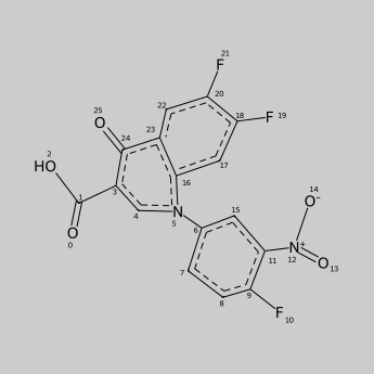 O=C(O)c1cn(-c2ccc(F)c([N+](=O)[O-])c2)c2cc(F)c(F)cc2c1=O